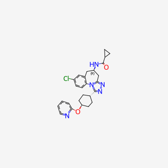 O=C(N[C@@H]1Cc2cc(Cl)ccc2-n2c(nnc2[C@H]2CC[C@H](Oc3ccccn3)CC2)C1)C1CC1